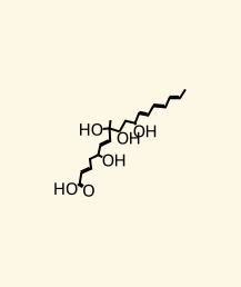 CC=CC=CC=CC(O)CC(O)C(C)(O)C=CC(O)CC=CC(=O)O